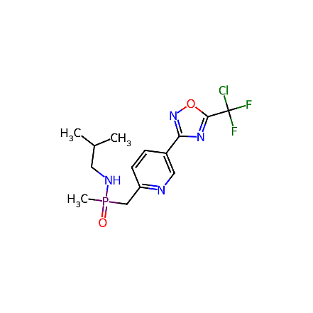 CC(C)CNP(C)(=O)Cc1ccc(-c2noc(C(F)(F)Cl)n2)cn1